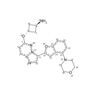 N[C@H]1C[C@H](Oc2ccc3ncc(-c4cc5c(N6CCOCC6)cccc5o4)n3n2)C1